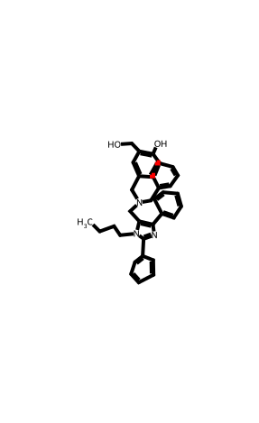 CCCCn1c(-c2ccccc2)nc(-c2ccccc2)c1CN(Cc1ccccc1)Cc1ccc(O)c(CO)c1